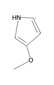 COc1c[c][nH]c1